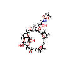 C=C1C[C@@H]2CCC(=O)C[C@H]3O[C@H]4[C@@H](O)[C@H]5O[C@H](CC[C@@H]5O[C@H]4[C@H]3O)CC(=O)C[C@H]3C(C[C@H]4O[C@@H](CCC1O2)C[C@@H](C)C4=C)O[C@H](C[C@H](O)CNC(=O)OC(C)(C)C)[C@@H]3C